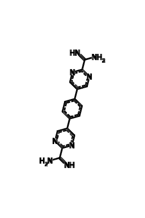 N=C(N)c1ncc(-c2ccc(-c3cnc(C(=N)N)nc3)cc2)cn1